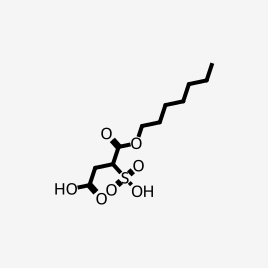 CCCCCCCOC(=O)C(CC(=O)O)S(=O)(=O)O